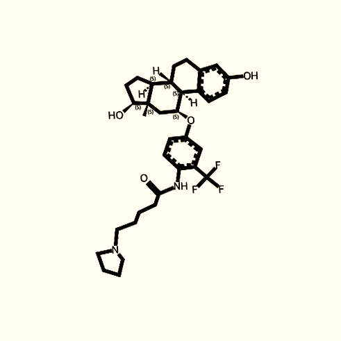 C[C@]12C[C@H](Oc3ccc(NC(=O)CCCCN4CCCC4)c(C(F)(F)F)c3)[C@@H]3c4ccc(O)cc4CC[C@H]3[C@@H]1CC[C@@H]2O